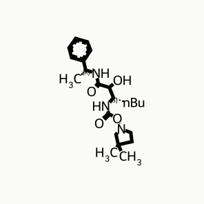 CCCC[C@H](NC(=O)ON1CCC(C)(C)C1)C(O)C(=O)N[C@H](C)c1ccccc1